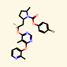 Cc1ncccc1Oc1ncnc(O[C@H](C)CC2CCC(C)N2C(=O)Oc2ccc(Br)cc2)c1C